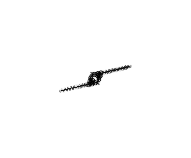 CCCCCCCCCCCCCCCCCCOB1OB2OCC(C)OB3OB(OCCCCCCCCCCCCCCCCCC)OB(OCC(C)OB(O1)O2)O3